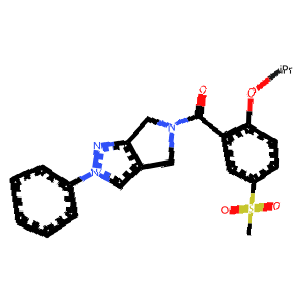 CC(C)Oc1ccc(S(C)(=O)=O)cc1C(=O)N1Cc2cn(-c3ccccc3)nc2C1